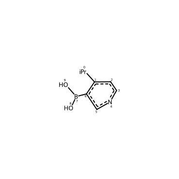 CC(C)c1ccncc1B(O)O